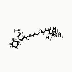 CC(CCOCCCCOCC[SH](CCS)C1CCCCC1)CC(C)(C)C